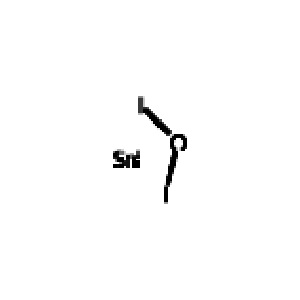 IOI.[Sn]